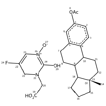 CC(=O)Oc1ccc2c(c1)CCC1C2CC[C@]2(C)CCCC12.O=C(O)CN1CC(F)=C[N+]([O-])=C1O